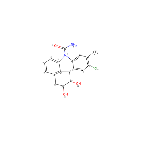 NC(=O)N(c1ccc(Cl)c(C(F)(F)F)c1)c1cccc2c1CC(O)C(O)C2